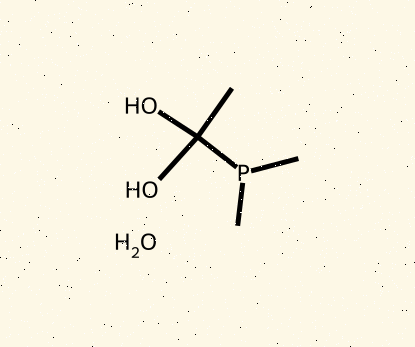 CP(C)C(C)(O)O.O